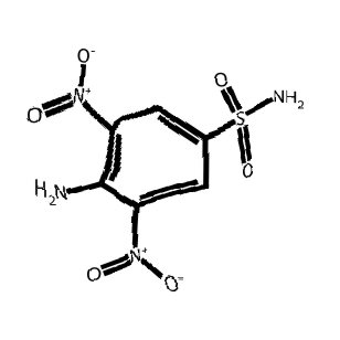 Nc1c([N+](=O)[O-])cc(S(N)(=O)=O)cc1[N+](=O)[O-]